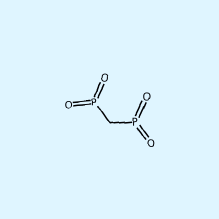 O=P(=O)CP(=O)=O